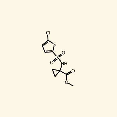 COC(=O)C1(NS(=O)(=O)c2ccc(Cl)s2)CC1